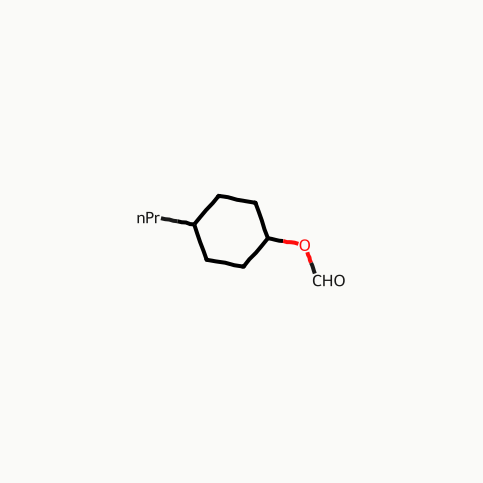 CCCC1CCC(OC=O)CC1